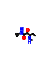 CCC(NC)C(=O)C(=O)NC1CC1